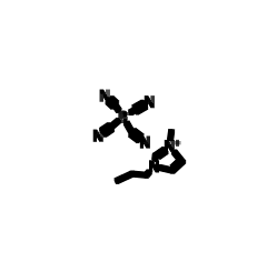 CCCn1cc[n+](C)c1.N#C[B-](C#N)(C#N)C#N